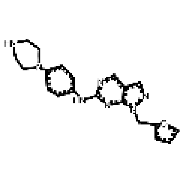 c1coc(Cn2ncc3cnc(Nc4ccc(N5CCNCC5)cc4)nc32)c1